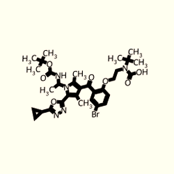 Cc1c(C(=O)c2cc(Br)ccc2OCCN(C(=O)O)C(C)(C)C)c(C)n(C(C)NC(=O)OC(C)(C)C)c1-c1nnc(C2CC2)o1